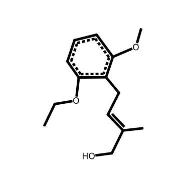 CCOc1cccc(OC)c1C/C=C(\C)CO